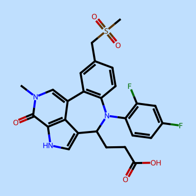 Cn1cc2c3c(c[nH]c3c1=O)C(CCC(=O)O)N(c1ccc(F)cc1F)c1ccc(CS(C)(=O)=O)cc1-2